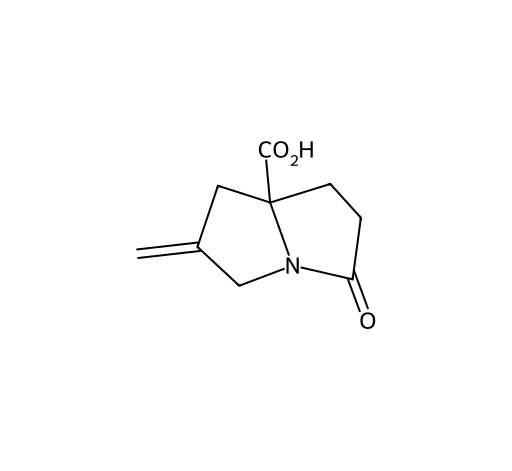 C=C1CN2C(=O)CCC2(C(=O)O)C1